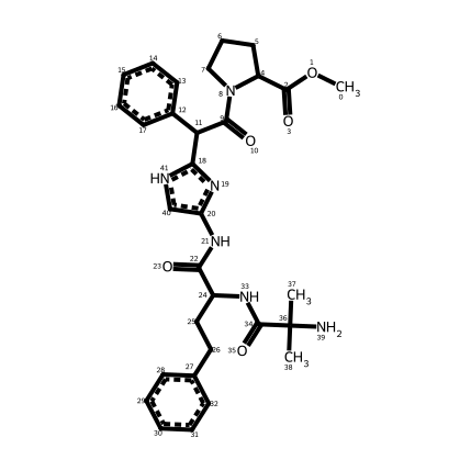 COC(=O)C1CCCN1C(=O)C(c1ccccc1)c1nc(NC(=O)C(CCc2ccccc2)NC(=O)C(C)(C)N)c[nH]1